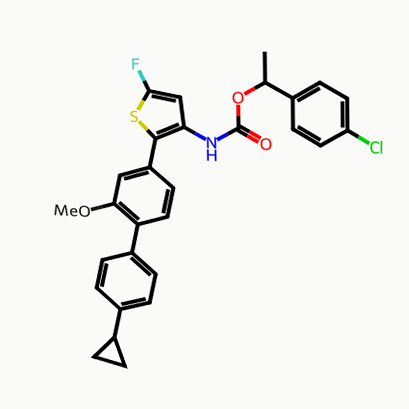 COc1cc(-c2sc(F)cc2NC(=O)OC(C)c2ccc(Cl)cc2)ccc1-c1ccc(C2CC2)cc1